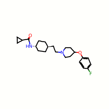 O=C(N[C@H]1CC[C@H](CCN2CCC(Oc3ccc(F)cc3)CC2)CC1)C1CC1